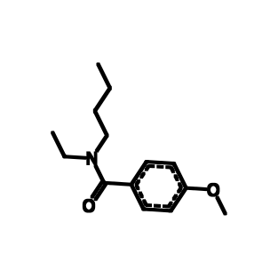 CCCCN(CC)C(=O)c1ccc(OC)cc1